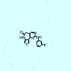 O=C1Cc2cnc(Nc3cccc(F)c3)nc2-c2cscc2N1